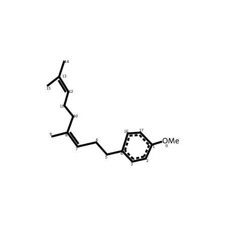 COc1ccc(CCC=C(C)CCC=C(C)C)cc1